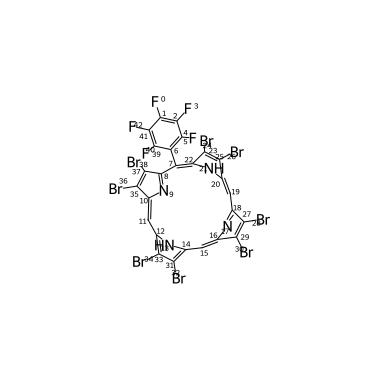 Fc1c(F)c(F)c(-c2c3nc(cc4[nH]c(cc5nc(cc6[nH]c2c(Br)c6Br)C(Br)=C5Br)c(Br)c4Br)C(Br)=C3Br)c(F)c1F